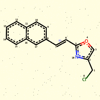 ClCc1coc(/C=C/c2ccc3ccccc3c2)n1